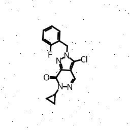 O=c1c2nn(Cc3ccccc3F)c(Cl)c2cnn1C1CC1